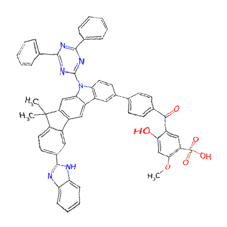 COc1cc(O)c(C(=O)c2ccc(-c3ccc4c(c3)c3cc5c(cc3n4-c3nc(-c4ccccc4)nc(-c4ccccc4)n3)C(C)(C)c3ccc(-c4nc6ccccc6[nH]4)cc3-5)cc2)cc1S(=O)(=O)O